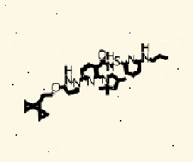 CCCNc1cccc(SNC(=O)c2ccc(N3C=CC(OCCC4C5(CC5)C45CC5)N3)nc2N2CC(C)CC2(C)C)n1